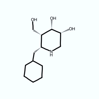 OC[C@@H]1[C@H](O)[C@H](O)CN[C@@H]1CC1CCCCC1